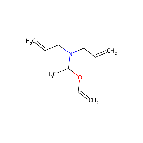 C=CCN(CC=C)C(C)OC=C